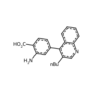 CCCCc1cnc2ccccc2c1-c1ccc(C(=O)O)c(N)c1